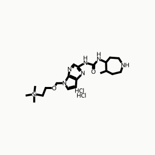 CC1CCNCCC1NC(=O)Nc1cnc2c(ccn2COCC[Si](C)(C)C)n1.Cl.Cl